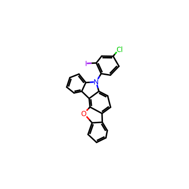 Clc1ccc(-n2c3ccccc3c3c4oc5ccccc5c4ccc32)c(I)c1